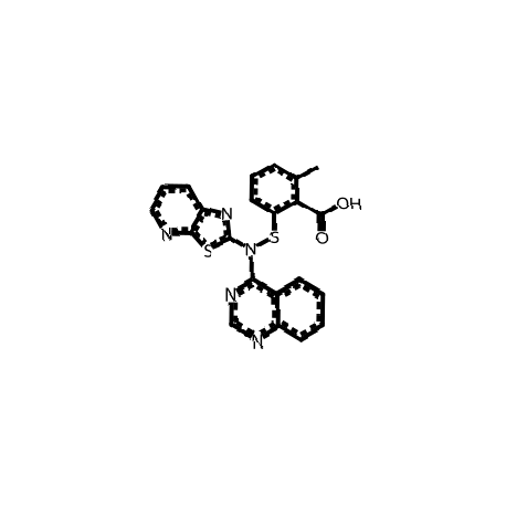 Cc1cccc(SN(c2nc3cccnc3s2)c2ncnc3ccccc23)c1C(=O)O